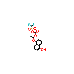 CC(OC(=O)OS(=O)(=O)C(F)F)Oc1cccc2c(O)cccc12